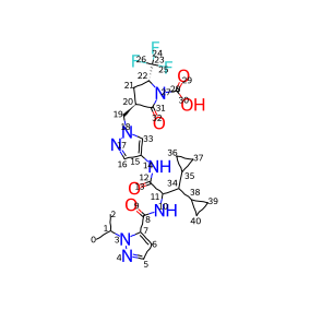 CC(C)n1nccc1C(=O)NC(C(=O)Nc1cnn(C[C@H]2C[C@H](C(F)(F)F)N(C(=O)O)C2=O)c1)C(C1CC1)C1CC1